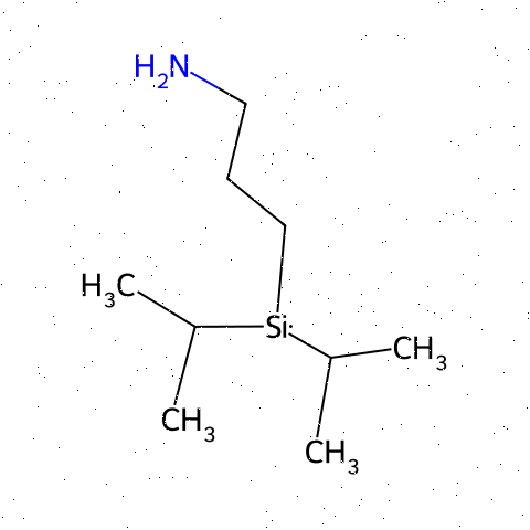 CC(C)[Si](CCCN)C(C)C